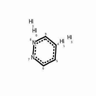 I.I.I.I.c1ccnnc1